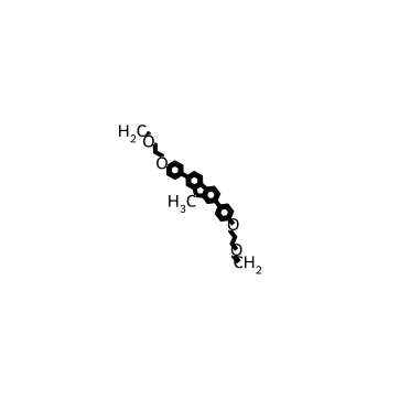 C=COCCCOc1ccc(-c2ccc3c(c2)C(C)c2cc(-c4ccc(OCCCOC=C)cc4)ccc2-3)cc1